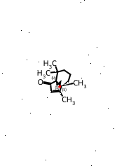 CC1=CC(=O)[C@@]23CC[C@H](C)[C@@]12CCCC3(C)C